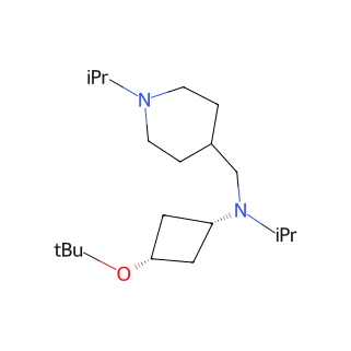 CC(C)N1CCC(CN(C(C)C)[C@H]2C[C@@H](OC(C)(C)C)C2)CC1